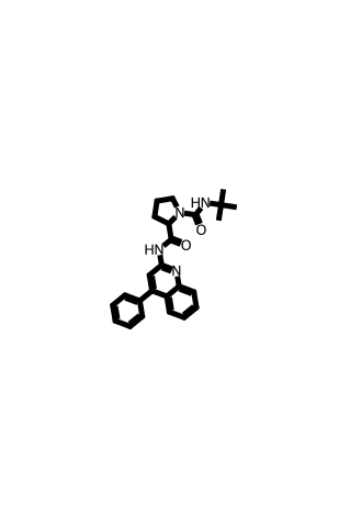 CC(C)(C)NC(=O)N1CCCC1C(=O)Nc1cc(-c2ccccc2)c2ccccc2n1